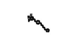 Fc1cc(CCC2CCC(CCCCCCC3CCCC3)CC2)cc(F)c1F